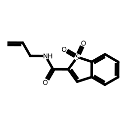 C=CCNC(=O)C1=Cc2ccccc2S1(=O)=O